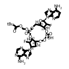 CC(C)(C)C(=O)OCOP1(=O)OC[C@H]2O[C@@H](n3cnc4c(N)ccnc43)C(F)[C@H]2OP(=O)(O)OC[C@H]2C[C@@H](n3cnc4c(N)ncnc43)C(F)[C@H]2O1